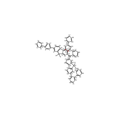 CC1(C)c2cc(-c3ccc(-c4ccccc4)cc3)ccc2-c2ccc(N(c3ccc4c(c3)C(C)(C)c3cc(-c5ccccc5-c5ccccc5)ccc3-4)c3ccccc3-c3cccc(-c4ccccc4)c3)cc21